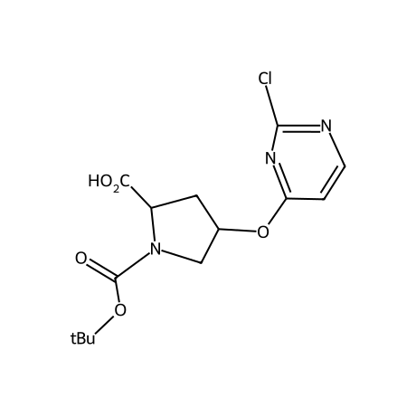 CC(C)(C)OC(=O)N1CC(Oc2ccnc(Cl)n2)CC1C(=O)O